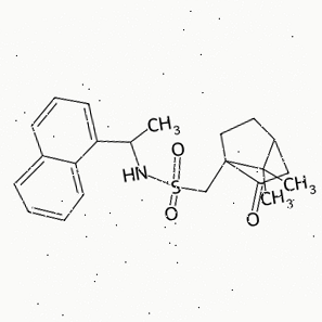 CC(NS(=O)(=O)CC12CCC(CC1=O)C2(C)C)c1cccc2ccccc12